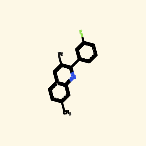 Cc1ccc2cc(C(C)C)c(-c3cccc(F)c3)nc2c1